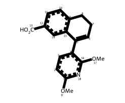 COc1ccc(C2=CCCc3ccc(C(=O)O)cc32)c(OC)n1